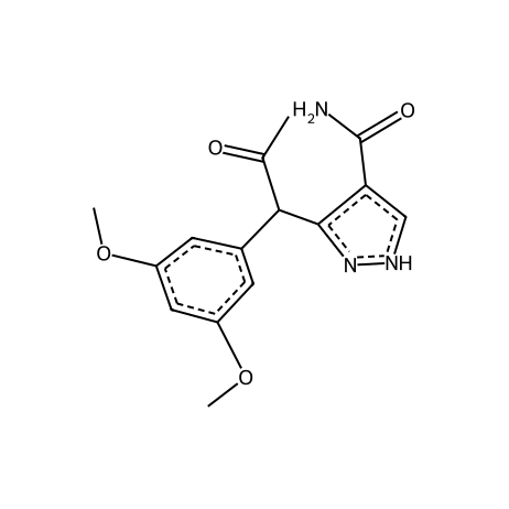 COc1cc(OC)cc(C(C(C)=O)c2n[nH]cc2C(N)=O)c1